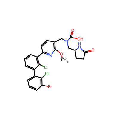 COc1nc(-c2cccc(-c3cccc(Br)c3Cl)c2Cl)ccc1CN(CC1CCC(=O)N1)C(=O)O